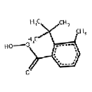 Cc1cccc(C(=O)OO)c1C(C)(C)C